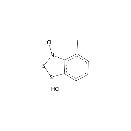 Cc1cccc2c1N(Cl)SS2.Cl